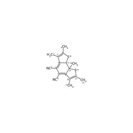 CC1=C(C)C2=C(C#N)C(C#N)=C3C(C)=C(C)SC3(C)C2S1